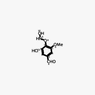 COc1cc(C=O)ccc1ONO.Cl